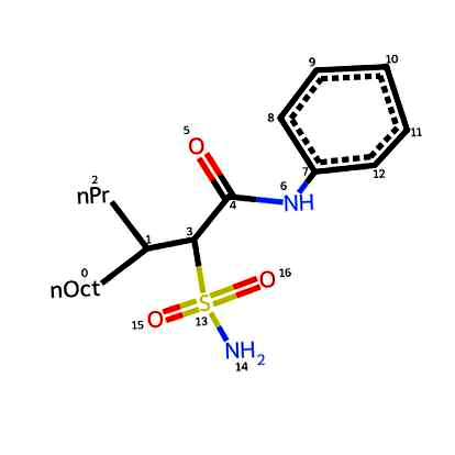 CCCCCCCCC(CCC)C(C(=O)Nc1ccccc1)S(N)(=O)=O